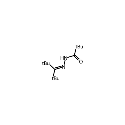 CC(C)(C)C(=O)NN=C(C(C)(C)C)C(C)(C)C